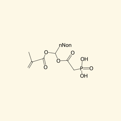 C=C(C)C(=O)OC(CCCCCCCCC)OC(=O)CP(=O)(O)O